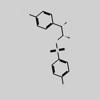 COc1ccc([C@@H](O)[C@H](OS(=O)(=O)c2ccc([N+](=O)[O-])cc2)C(=O)O)cc1